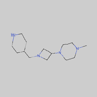 CN1CCN(C2CN(CC3CCNCC3)C2)CC1